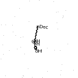 CCCCCCCCCCCCCCCCCCCNC(=O)NCc1ccc(O)cc1